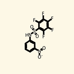 O=[N+]([O-])c1cccc(NS(=O)(=O)c2c(F)c(F)c(F)c(F)c2F)c1